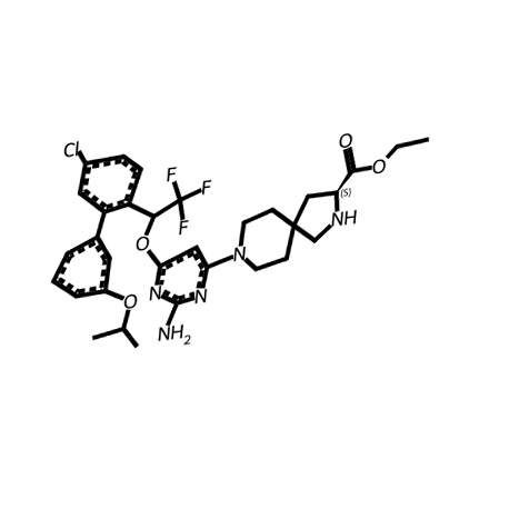 CCOC(=O)[C@@H]1CC2(CCN(c3cc(OC(c4ccc(Cl)cc4-c4cccc(OC(C)C)c4)C(F)(F)F)nc(N)n3)CC2)CN1